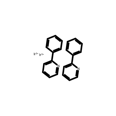 [Ir+3].[Ir+3].c1ccc(-c2ccccn2)cc1.c1ccc(-c2ccccn2)cc1